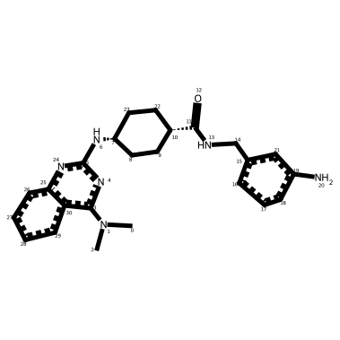 CN(C)c1nc(N[C@H]2CC[C@@H](C(=O)NCc3cccc(N)c3)CC2)nc2ccccc12